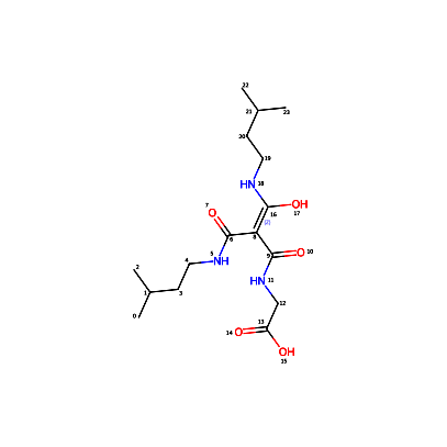 CC(C)CCNC(=O)/C(C(=O)NCC(=O)O)=C(/O)NCCC(C)C